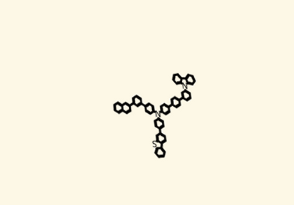 c1cc(-c2ccc(N(c3ccc(-c4ccc(-c5cccc(-n6c7ccccc7c7ccccc76)c5)cc4)cc3)c3ccc(-c4ccc5c(c4)sc4ccccc45)cc3)cc2)cc(-c2ccc3ccccc3c2)c1